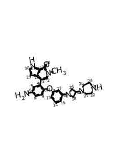 Cn1cc(-c2cc(N)ccc2Oc2cccc(N3CC(N4CCNCC4)C3)c2)c2cc[nH]c2c1=O